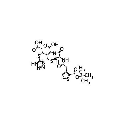 CC(C)(C)OC(=O)c1sccc1CC(=O)NC1C(=O)N2C(C(=O)O)=C(C(CC(=O)O)Sc3nnn[nH]3)CS[C@@H]12